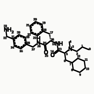 CCCN(C)C(CC1CCCCC1)C(=O)N[C@@H](Cc1ccccc1)C(=O)NCc1ccc(CN)cc1